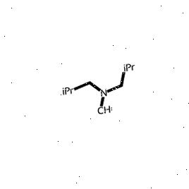 [CH]N(CC(C)C)CC(C)C